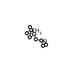 CC1CC=C(c2cccc(-c3ccc4c(c3)-c3cccc5cccc(c35)O4)c2)C2=C1C1(c3ccccc32)c2ccccc2-c2c1ccc1ccccc21